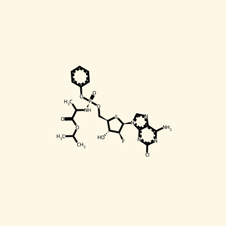 CC(C)OC(=O)C(C)N[P@](=O)(OC[C@H]1S[C@@H](n2cnc3c(N)nc(Cl)nc32)[C@@H](F)[C@@H]1O)Oc1ccccc1